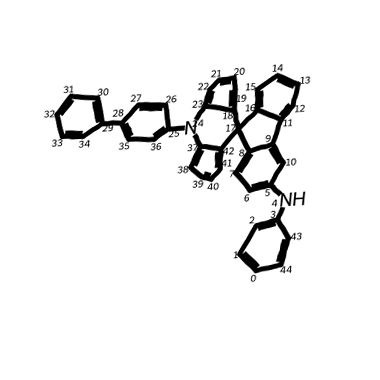 c1ccc(Nc2ccc3c(c2)-c2ccccc2C32c3ccccc3N(c3ccc(-c4ccccc4)cc3)c3ccccc32)cc1